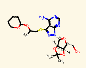 CC(CSc1nn([C@@H]2O[C@H](CO)[C@H]3OC(C)(C)O[C@H]32)c2ncnc(N)c12)OC1CCCCO1